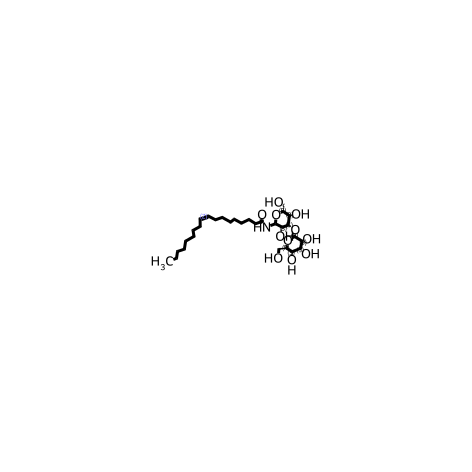 CCCCCCCC/C=C\CCCCCCCC(=O)NC1O[C@H](CO)[C@@H](O)[C@H](O[C@H]2O[C@H](CO)[C@@H](O)[C@H](O)[C@@H]2O)[C@@H]1O